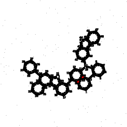 c1ccc(-c2ccccc2N(c2ccc(-c3cccc4c3oc3cc(-c5ccccc5)c5ccccc5c34)cc2)c2ccc3sc4ccccc4c3c2)cc1